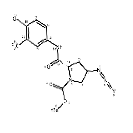 CC(C)(C)OC(=O)N1CC(N=[N+]=[N-])C[C@H]1C(=O)Nc1ccc(Cl)c(C(F)(F)F)c1